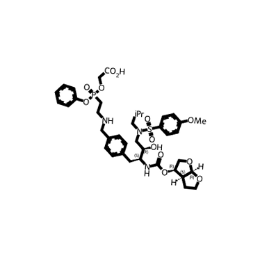 COc1ccc(S(=O)(=O)N(CC(C)C)C[C@@H](O)[C@H](Cc2ccc(CNCCP(=O)(OCC(=O)O)Oc3ccccc3)cc2)NC(=O)O[C@H]2CO[C@H]3OCC[C@H]32)cc1